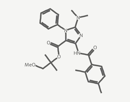 COCC(C)(C)OC(=O)c1c(NC(=O)c2ccc(C)cc2C)nc(N(C)C)n1-c1ccccc1